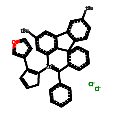 CC(C)(C)c1ccc2c(c1)-c1cc(C(C)(C)C)c[c]([Zr+2]([C]3=C(c4ccoc4)C=CC3)=[C](c3ccccc3)c3ccccc3)c1C2.[Cl-].[Cl-]